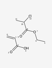 C=CC(=O)O.CCOC(=O)C(C)Cl